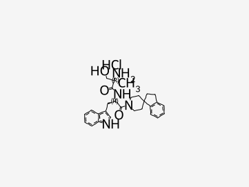 C[C@@](N)(CO)C(=O)N[C@H](Cc1c[nH]c2ccccc12)C(=O)N1CCC2(CCc3ccccc32)CC1.Cl